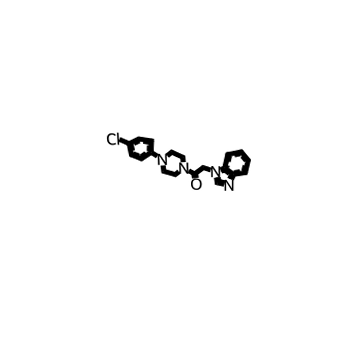 O=C(Cn1cnc2ccccc21)N1CCN(c2ccc(Cl)cc2)CC1